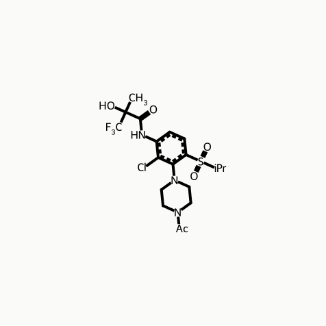 CC(=O)N1CCN(c2c(S(=O)(=O)C(C)C)ccc(NC(=O)C(C)(O)C(F)(F)F)c2Cl)CC1